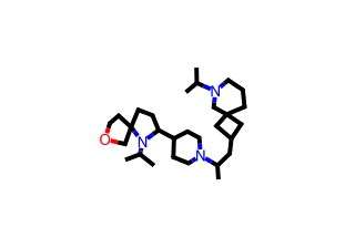 CC(C)N1CCCC2(CC(CC(C)N3CCC(C4CCC5(CCOC5)N4C(C)C)CC3)C2)C1